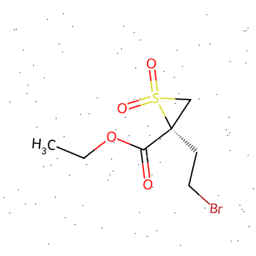 CCOC(=O)[C@]1(CCBr)CS1(=O)=O